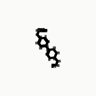 COCc1ccc(C2=CCC(CC(C)C)CC2)cc1